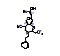 C/C=C1/C(C#N)=C[C@H](CCC2=CCCC=C2)C(CC(F)(F)F)=N/C1=C/C/C=C(/O)CC